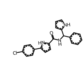 O=C(NC(c1ccccc1)c1ccc[nH]1)c1ccc(-c2ccc(Cl)cc2)[nH]1